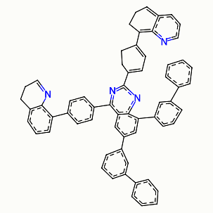 C1=Nc2c(cccc2-c2ccc(-c3nc(C4=CC=C(C5=c6ncccc6=CCC5)CC4)nc4c(-c5cccc(-c6ccccc6)c5)cc(-c5cccc(-c6ccccc6)c5)cc34)cc2)CC1